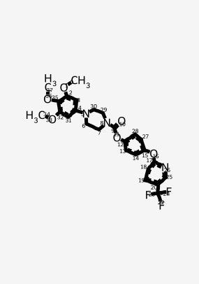 COc1cc(N2CCN(C(=O)Oc3ccc(Oc4ccc(C(F)(F)F)cn4)cc3)CC2)cc(OC)c1OC